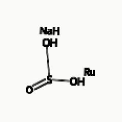 O=S(O)O.[NaH].[Ru]